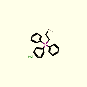 CCC[PH](c1ccccc1)(c1ccccc1)c1ccccc1.Cl